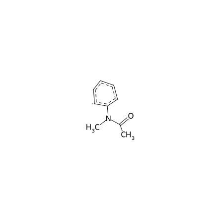 CC(=O)N(C)c1[c]cccc1